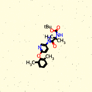 Cc1cccc(C)c1Oc1ccc(NC(=O)C(C)(C)NC(=O)OC(C)(C)C)cn1